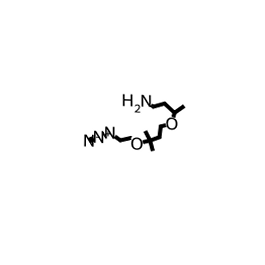 CC(CCN)OCCC(C)(C)OCCN=[N+]=[N-]